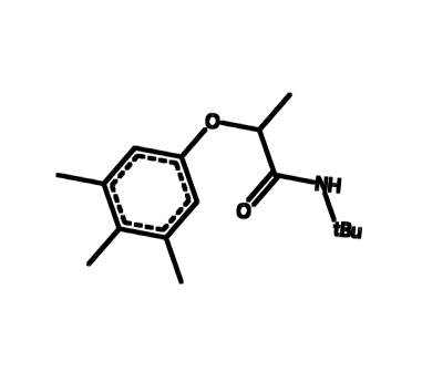 Cc1cc(OC(C)C(=O)NC(C)(C)C)cc(C)c1C